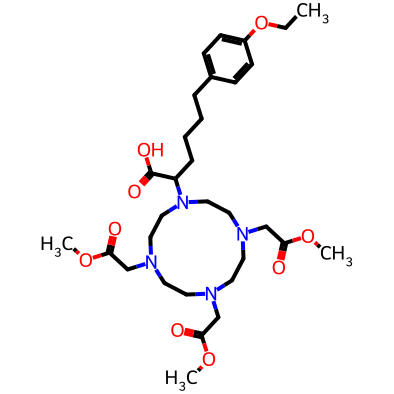 CCOc1ccc(CCCCC(C(=O)O)N2CCN(CC(=O)OC)CCN(CC(=O)OC)CCN(CC(=O)OC)CC2)cc1